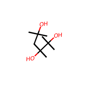 CC(C)(O)CC(C)(O)C(C)(C)O